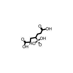 O=C(O)CCC(CCC(=O)O)P(=O)(O)O